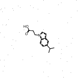 CC(C)c1ccc2c(ccn2CCC(=O)O)c1